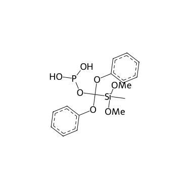 CO[Si](C)(OC)C(Oc1ccccc1)(Oc1ccccc1)OP(O)O